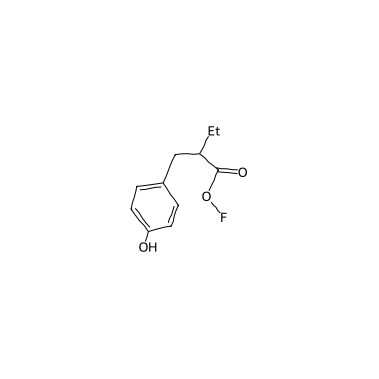 CCC(Cc1ccc(O)cc1)C(=O)OF